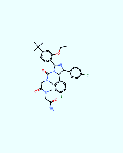 CCOc1cc(C(C)(C)C)ccc1C1=NC(c2ccc(Cl)cc2)C(c2ccc(Cl)cc2)N1C(=O)N1CCN(CC(N)=O)C(=O)C1